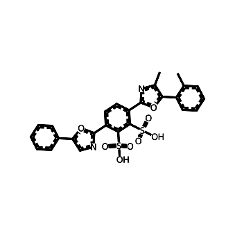 Cc1ccccc1-c1oc(-c2ccc(-c3ncc(-c4ccccc4)o3)c(S(=O)(=O)O)c2S(=O)(=O)O)nc1C